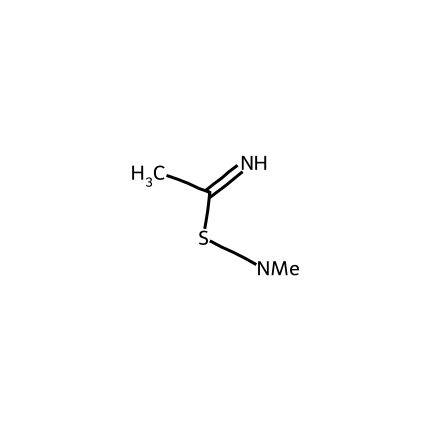 CNSC(C)=N